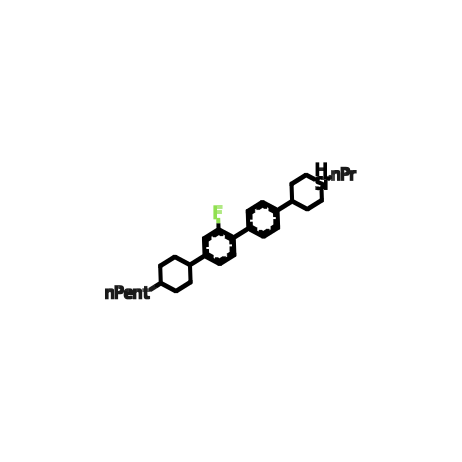 CCCCCC1CCC(c2ccc(-c3ccc(C4CC[SiH](CCC)CC4)cc3)c(F)c2)CC1